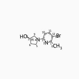 Cc1nc(N2CC[C@@H](O)C2)ccc1Br